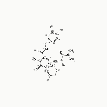 CN(C)C(=O)C(=O)NC12CCC(F)(CC1)Cn1c2nc(C(=O)NCc2ccc(F)c(I)c2)c(O)c1=O